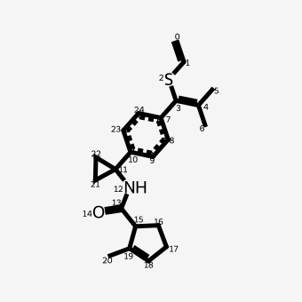 C=CSC(=C(C)C)c1ccc(C2(NC(=O)C3CCC=C3C)CC2)cc1